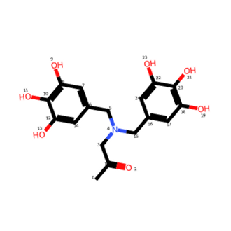 CC(=O)CN(Cc1cc(O)c(O)c(O)c1)Cc1cc(O)c(O)c(O)c1